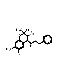 Cc1cc2c(cc1Br)C(NCCc1ccccc1)C(O)C(C)(C)O2